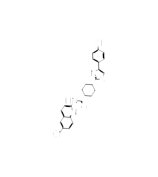 O=C(Nc1ccc2cc(Cl)ccc2n1)[C@H]1CC[C@H](c2nc(-c3ccc(Cl)cc3)cs2)CC1